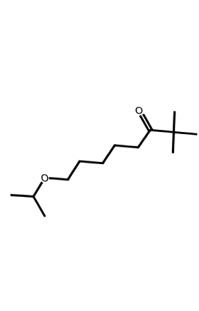 CC(C)OCCCCCC(=O)C(C)(C)C